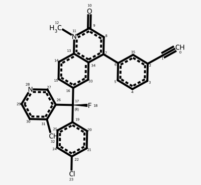 C#Cc1cccc(-c2cc(=O)n(C)c3ccc([C@](F)(c4ccc(Cl)cc4)c4cnccc4C)cc23)c1